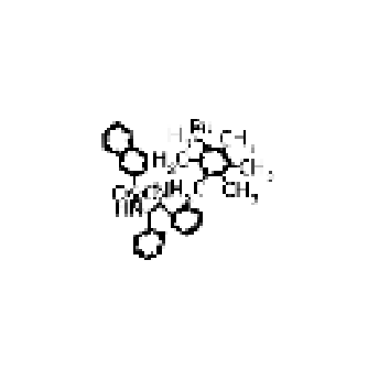 Cc1c(C)c(C)c(C)c(C)c1C.N[C@H](c1ccccc1)[C@H](NS(=O)(=O)c1ccc2ccccc2c1)c1ccccc1.[Ru]